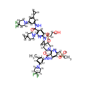 Cc1cc(NC(=O)c2ccc(CS(C)(=O)=O)nc2N2CCC3(CC2)CC3N(c2ccc(C(=O)Nc3cc(C4CC4)cc(N4CCC(F)(F)CC4)c3)c(N3CCC4(CC3)CC4)n2)S(=O)(=O)CCO)cc(N2CCC(F)(F)CC2)c1